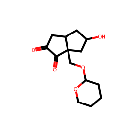 O=C1CC2CC(O)CC2(COC2CCCCO2)C1=O